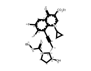 CCOC(=O)c1cn(C2CC2)c2c(C#CC[C@@H]3[C@@H](O)CCN3C(=O)OC(C)(C)C)c(F)c(F)cc2c1=O